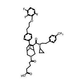 Cc1ccc(CCN(C(=O)C2=C(c3ccc(CCCOc4c(F)ccc(F)c4F)cc3)CC3CN(C(=O)CCCC(=O)O)CC2N3)C2CC2)cc1